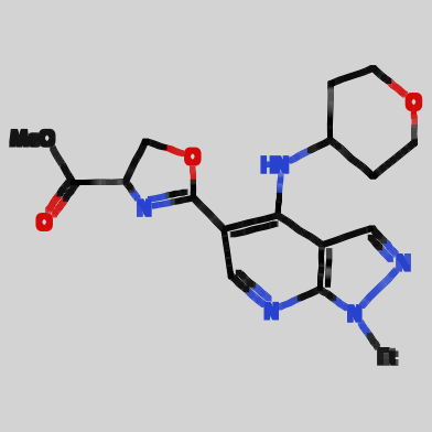 CCn1ncc2c(NC3CCOCC3)c(C3=NC(C(=O)OC)CO3)cnc21